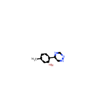 Br.Cc1ccc(-c2cnncn2)cc1